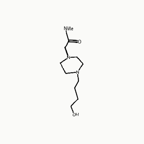 CNC(=O)CN1CCN(CCCCO)CC1